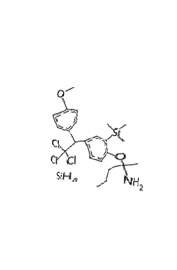 CCCC(C)(N)Oc1ccc(C(c2ccc(OC)cc2)C(Cl)(Cl)Cl)cc1[Si](C)(C)C.[SiH4]